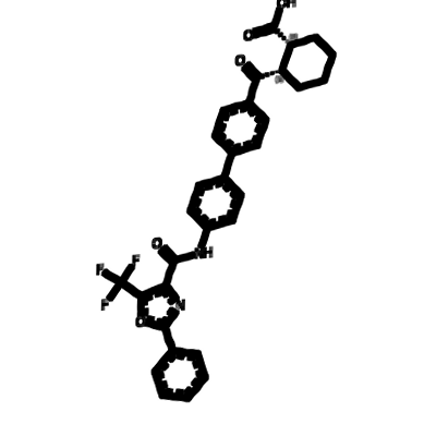 O=C(Nc1ccc(-c2ccc(C(=O)[C@H]3CCCC[C@H]3C(=O)O)cc2)cc1)c1nc(-c2ccccc2)oc1C(F)(F)F